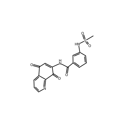 CS(=O)(=O)Nc1cccc(C(=O)NC2=CC(=O)c3cccnc3C2=O)c1